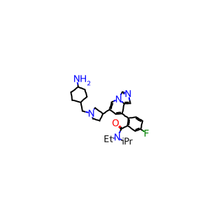 CCN(C(=O)c1cc(F)ccc1-c1cc(C2CCN(CC3CCC(N)CC3)C2)cn2cncc12)C(C)C